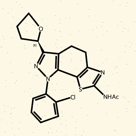 CC(=O)Nc1nc2c(s1)-c1c(c([C@H]3CCCO3)nn1-c1ccccc1Cl)CC2